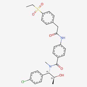 CCS(=O)(=O)c1ccc(CC(=O)Nc2ccc(C(=O)N(C)[C@@H](c3ccc(Cl)cc3)[C@H](C)O)cc2)cc1